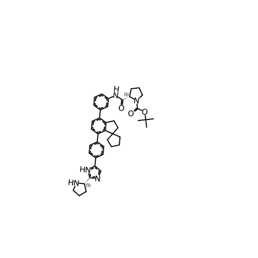 CC(C)(C)OC(=O)N1CCC[C@H]1C(=O)Nc1cccc(-c2ccc(-c3ccc(-c4cnc([C@@H]5CCCN5)[nH]4)cc3)c3c2CCC32CCCC2)c1